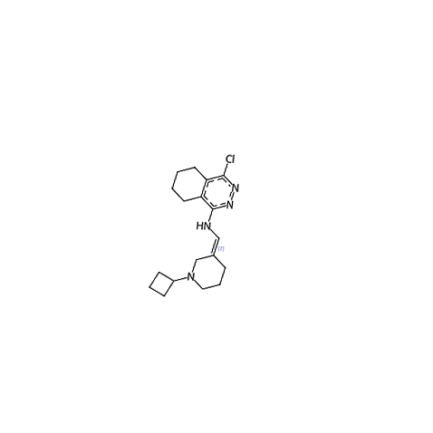 Clc1nnc(N/C=C2/CCCN(C3CCC3)C2)c2c1CCCC2